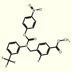 COC(=O)c1ccc(CN(C(=O)Oc2ccc([N+](=O)[O-])cc2)c2cccc(C(F)(F)F)c2)c(F)c1